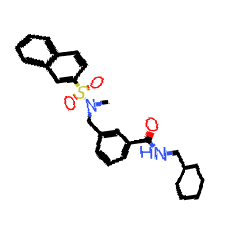 CN(Cc1cccc(C(=O)NCC2CCCCC2)c1)S(=O)(=O)c1ccc2ccccc2c1